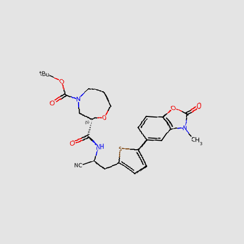 Cn1c(=O)oc2ccc(-c3ccc(CC(C#N)NC(=O)[C@@H]4CN(C(=O)OC(C)(C)C)CCCO4)s3)cc21